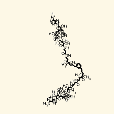 CC(C)(CCCc1cccc(CCCC(C)(C)C(=O)CCNC(=O)CCNC(=O)C(O)C(C)(C)COP(=O)(O)OP(=O)(O)OCC2OC(n3cnc4c(N)ncnc43)C(O)C2OP(=O)(O)O)c1)C(=O)CCNC(=O)CCNC(=O)C(O)C(C)(C)COP(=O)(O)OP(=O)(O)OCC1OC(n2cnc3c(N)ncnc32)C(O)C1OP(=O)(O)O